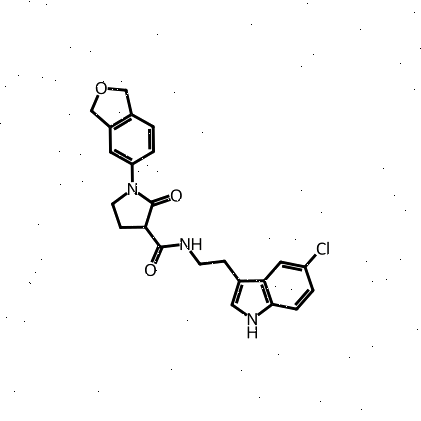 O=C(NCCc1c[nH]c2ccc(Cl)cc12)C1CCN(c2ccc3c(c2)COC3)C1=O